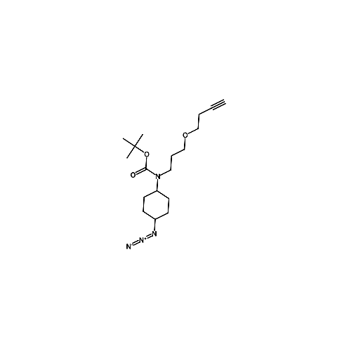 C#CCCOCCCN(C(=O)OC(C)(C)C)C1CCC(N=[N+]=[N-])CC1